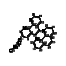 [Cl-].[Cl][Rh+][Cl].c1cnc2c(c1)ccc1cccnc12.c1cnc2c(c1)ccc1cccnc12